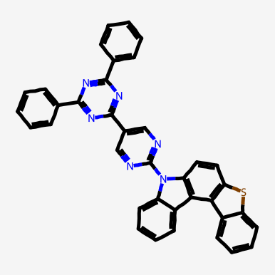 c1ccc(-c2nc(-c3ccccc3)nc(-c3cnc(-n4c5ccccc5c5c6c(ccc54)sc4ccccc46)nc3)n2)cc1